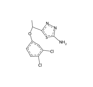 CC(Oc1ccc(Cl)c(Cl)c1)c1nnc(N)s1